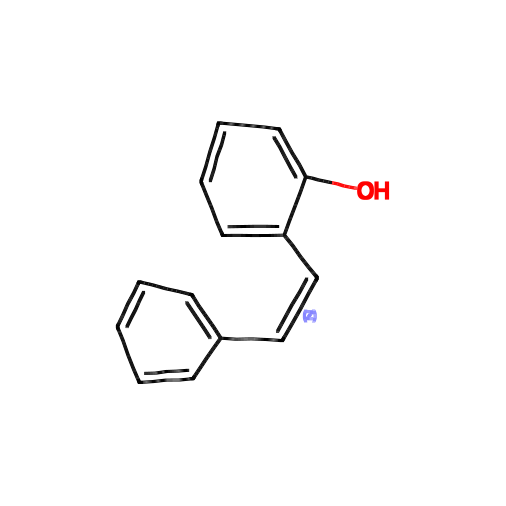 Oc1ccccc1/C=C\c1ccccc1